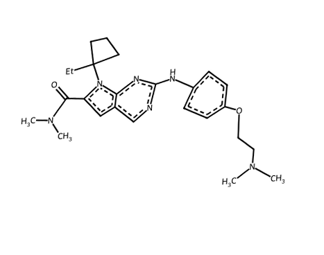 CCC1(n2c(C(=O)N(C)C)cc3cnc(Nc4ccc(OCCN(C)C)cc4)nc32)CCC1